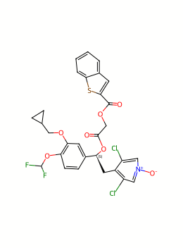 O=C(COC(=O)c1cc2ccccc2s1)O[C@@H](Cc1c(Cl)c[n+]([O-])cc1Cl)c1ccc(OC(F)F)c(OCC2CC2)c1